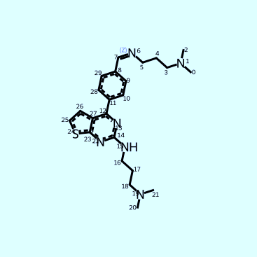 CN(C)CCC/N=C\c1ccc(-c2nc(NCCCN(C)C)nc3sccc23)cc1